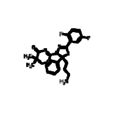 CC1(C)COC(N2N=C(c3cc(F)ccc3F)SC2(CCCN)c2ccccc2)=NC1=O